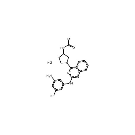 CCC(=O)NC1CCN(c2nc(Nc3cc(N)cc(C#N)c3)nc3ccccc23)C1.Cl